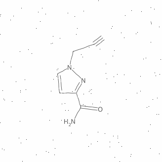 C#CCn1ccc(C(N)=O)n1